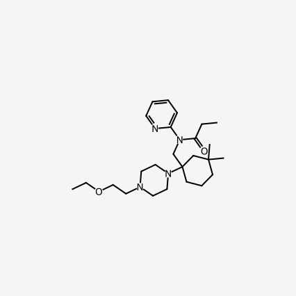 CCOCCN1CCN(C2(CN(C(=O)CC)c3ccccn3)CCCC(C)(C)C2)CC1